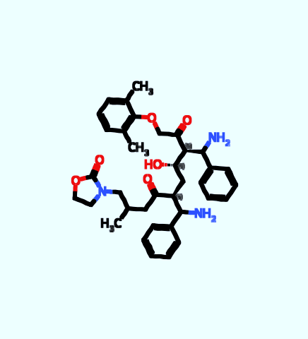 Cc1cccc(C)c1OCC(=O)[C@@H](C(N)c1ccccc1)[C@@H](O)C[C@H](C(=O)CC(C)CN1CCOC1=O)C(N)c1ccccc1